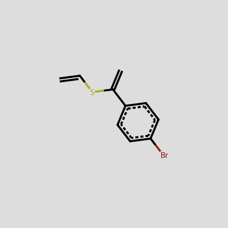 C=CSC(=C)c1ccc(Br)cc1